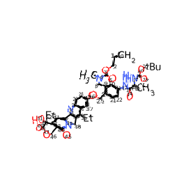 C=CCOC(=O)N(C)Cc1cc(NC(=O)[C@H](C)NC(=O)OC(C)(C)C)ccc1COc1ccc2nc3c(c(CC)c2c1)Cn1c-3cc2c(c1=O)COC(=O)[C@]2(O)CC